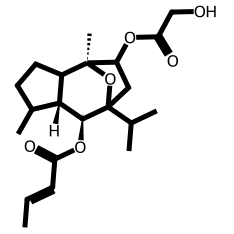 C/C=C/C(=O)O[C@H]1[C@@H]2C(C)CCC2[C@]2(C)OC1(C(C)C)CC2OC(=O)CO